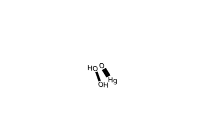 OO.[O]=[Hg]